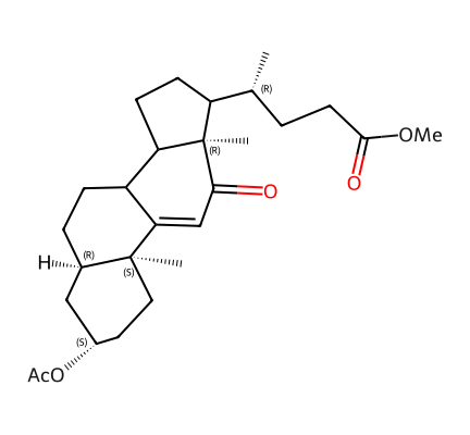 COC(=O)CC[C@@H](C)C1CCC2C3CC[C@@H]4C[C@@H](OC(C)=O)CC[C@]4(C)C3=CC(=O)[C@@]21C